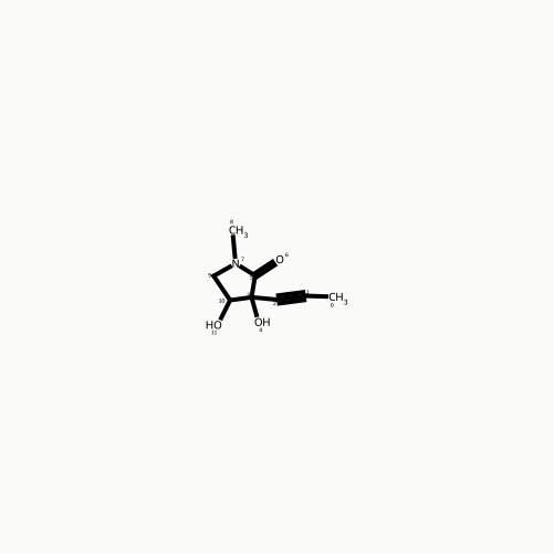 CC#CC1(O)C(=O)N(C)CC1O